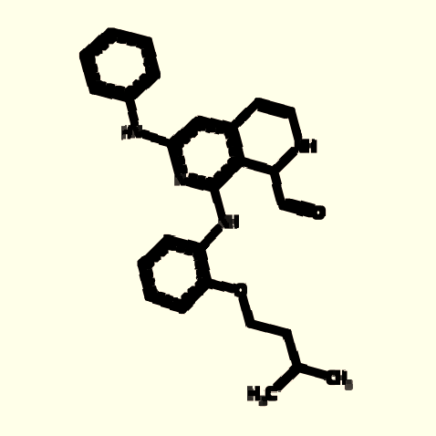 CC(C)CCOc1ccccc1Nc1nc(Nc2ccccc2)cc2c1C(C=O)NC=C2